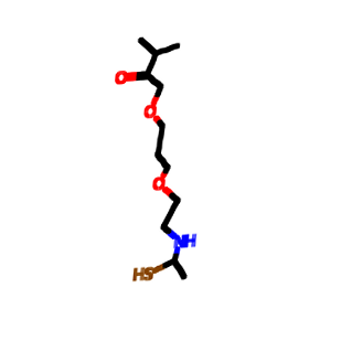 CC(S)NCCOCCCOCC(=O)C(C)C